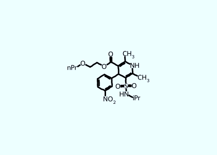 CCCOCCOC(=O)C1=C(C)NC(C)=C(S(=O)(=O)NC(C)C)C1c1cccc([N+](=O)[O-])c1